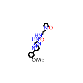 COc1cccc(-c2ccc3nc(NC(=O)NCCCN4CCCC4=O)cn3n2)c1